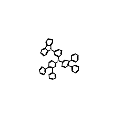 c1ccc(-c2ccc(N(c3cccc(-n4c5ccccc5c5ccccc54)c3)c3ccc(-c4ccccc4)c(-c4ccccc4)c3)cc2-c2ccccc2)cc1